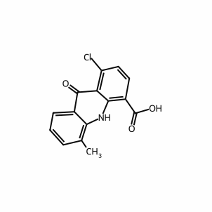 Cc1cccc2c(=O)c3c(Cl)ccc(C(=O)O)c3[nH]c12